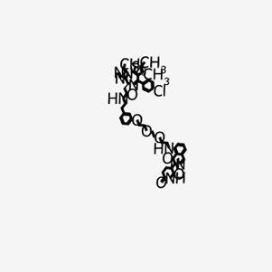 Cc1sc2c(c1C)C(c1ccc(Cl)cc1)=N[C@@H](CC(=O)NCCc1cccc(OCCOCCOCCNc3cccc4cnn(C5CCC(=O)NC5=O)c(=O)c34)c1)c1nnc(C)n1-2